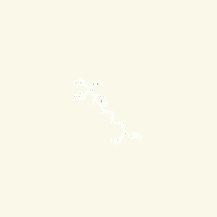 CC(N)CCCCN.CCC[Si](OC)(OC)OC